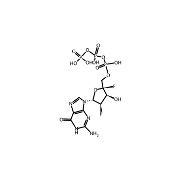 Nc1nc2c(ncn2[C@@H]2O[C@](F)(COP(=O)(O)OP(=O)(O)OP(=O)(O)O)[C@@H](O)[C@H]2F)c(=O)[nH]1